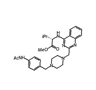 COC(=O)[C@@H](Nc1nc(CN2CCN(Cc3ccc(NC(C)=O)cc3)CC2)nc2ccccc12)C(C)C